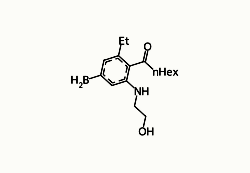 Bc1cc(CC)c(C(=O)CCCCCC)c(NCCO)c1